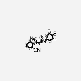 N#Cc1cccc2ncn(CC(=O)Nc3ccc(F)c(F)c3)c12